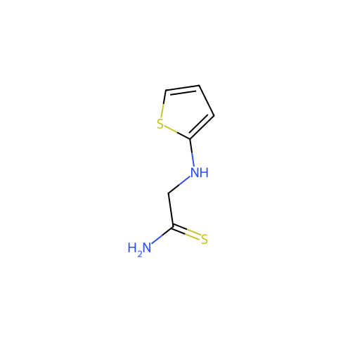 NC(=S)CNc1cccs1